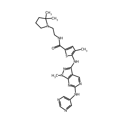 Cc1cc(C(=O)NCCN2CCCC2(C)C)sc1Nc1nn(C)c2nc(Nc3cncnc3)ncc12